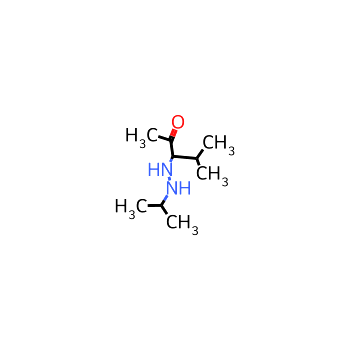 CC(=O)C(NNC(C)C)C(C)C